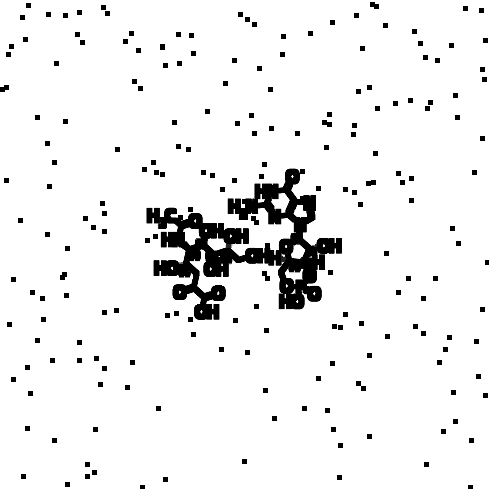 CC(=O)N[C@@H]([C@@H](O)[C@H](O)[C@H](O)CO)[C@@H](O)CC(=O)C(=O)O.Nc1nc2c(ncn2[C@@H]2O[C@@H]3COP(=O)(O)O[C@H]3[C@H]2O)c(=O)[nH]1